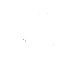 C[S+]([O-])c1ccc2c(c1)C(c1cccc[n+]1[O-])=CC(C)(C)CO2